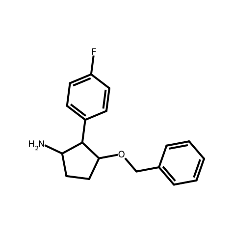 NC1CCC(OCc2ccccc2)C1c1ccc(F)cc1